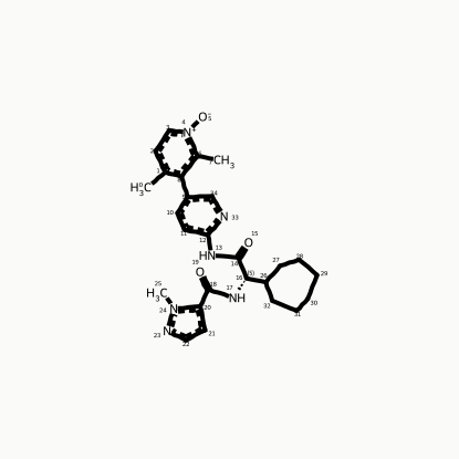 Cc1cc[n+]([O-])c(C)c1-c1ccc(NC(=O)[C@@H](NC(=O)c2ccnn2C)C2CCCCCC2)nc1